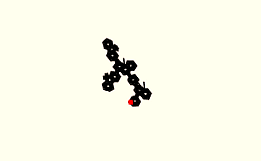 CC1(C)c2ccccc2-c2ccc(-c3cc(-c4ccc5c(c4)C(C)(C)c4ccccc4-5)c4cc(-c5ccc(-c6cc(-c7ccccc7)c7ccccc7n6)cc5)c5ccccc5c4n3)cc21